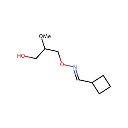 COC(CO)CON=CC1CCC1